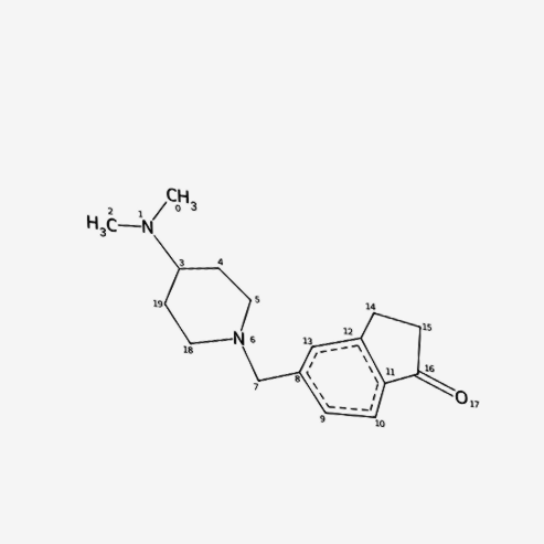 CN(C)C1CCN(Cc2ccc3c(c2)CCC3=O)CC1